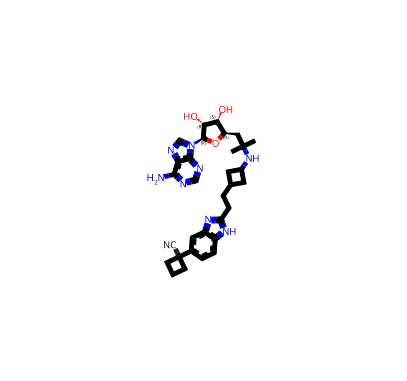 CC(C)(C[C@H]1O[C@@H](n2cnc3c(N)ncnc32)[C@H](O)[C@@H]1O)NC1CC(CCc2nc3cc(C4(C#N)CCC4)ccc3[nH]2)C1